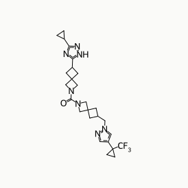 O=C(N1CC2(CC(Cn3cc(C4(C(F)(F)F)CC4)cn3)C2)C1)N1CC2(CC(c3nc(C4CC4)n[nH]3)C2)C1